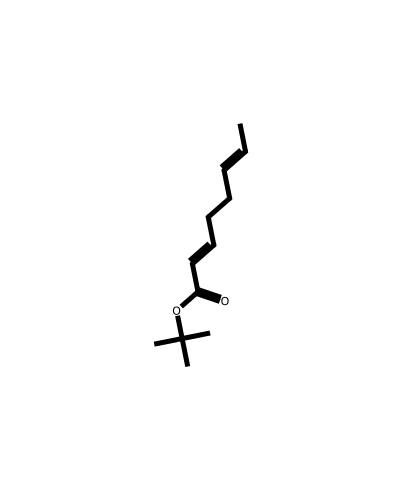 CC=CCCC=CC(=O)OC(C)(C)C